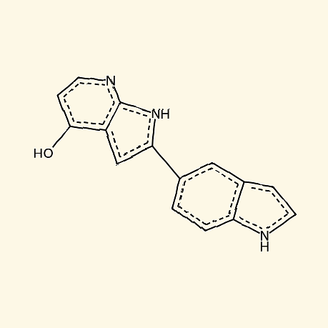 Oc1ccnc2[nH]c(-c3ccc4[nH]ccc4c3)cc12